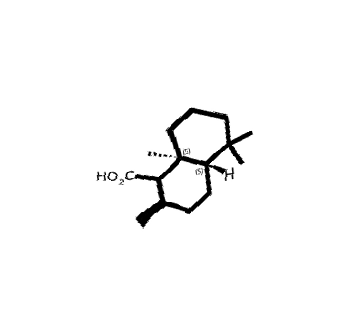 C=C1CC[C@H]2C(C)(C)CCC[C@]2(C)C1C(=O)O